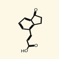 O=C(O)C=Cc1cccc2c1CCC2=O